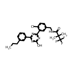 CCCc1cccc(-c2nc(O)nc(-c3cc(CNC(=O)C(C)(C)C(F)(F)F)ccc3Cl)n2)c1